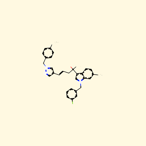 COc1ccc(Cn2cc(C=CCC(O)(c3cn(Cc4cccc(F)c4)c4cc(C#N)ccc34)C(F)(F)F)cn2)cc1